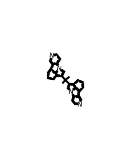 CC(C)(c1cn2c3ccncc3c3cccc1c32)c1cn2c3ccncc3c3cccc1c32